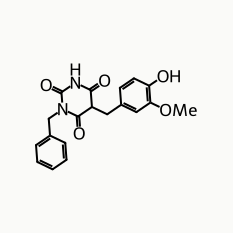 COc1cc(CC2C(=O)NC(=O)N(Cc3ccccc3)C2=O)ccc1O